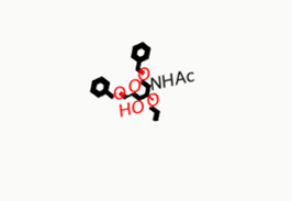 C=CCO[C@H]1[C@H](O)[C@@H](COCc2ccccc2)O[C@H](OCc2ccccc2)[C@@H]1NC(C)=O